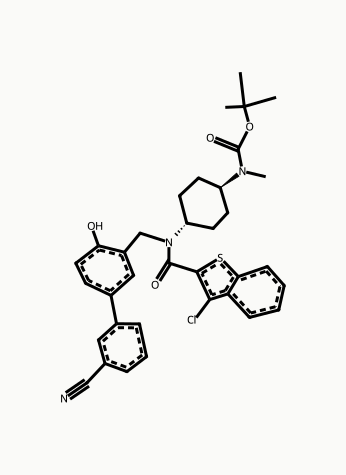 CN(C(=O)OC(C)(C)C)[C@H]1CC[C@H](N(Cc2cc(-c3cccc(C#N)c3)ccc2O)C(=O)c2sc3ccccc3c2Cl)CC1